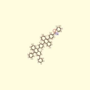 c1ccc(-c2ccc3c(-c4ccc(-c5c6ccccc6c(-c6ccc(-c7nc8ccccc8o7)cc6)c6ccccc56)cc4)c4ccccc4c(-c4ccccc4)c3c2)cc1